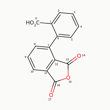 O=C(O)c1ccccc1-c1cccc2c1C(=O)OC2=O